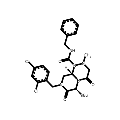 CCCC[C@H]1C(=O)N(Cc2ccc(Cl)cc2Cl)C[C@H]2N1C(=O)CN(C)N2C(=O)NCc1ccccc1